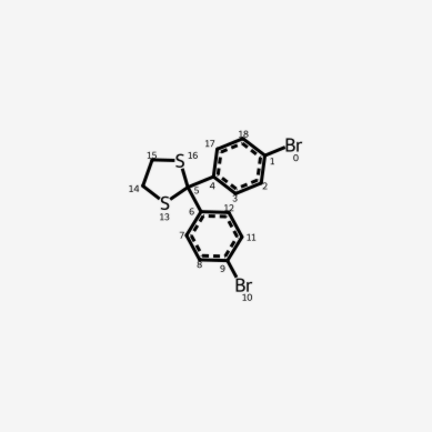 Brc1ccc(C2(c3ccc(Br)cc3)SCCS2)cc1